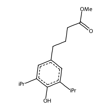 COC(=O)CCCc1cc(C(C)C)c(O)c(C(C)C)c1